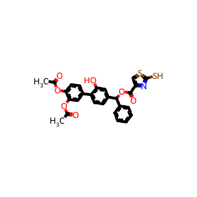 CC(=O)Oc1ccc(-c2ccc(C(OC(=O)c3csc(S)n3)c3ccccc3)cc2O)cc1OC(C)=O